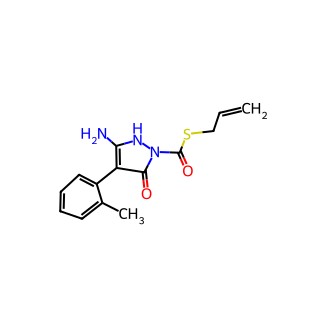 C=CCSC(=O)n1[nH]c(N)c(-c2ccccc2C)c1=O